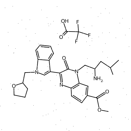 COC(=O)c1ccc2nc(-c3cn(CC4CCCO4)c4ccccc34)c(=O)n(CC(N)CC(C)C)c2c1.O=C(O)C(F)(F)F